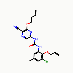 C=CCCOc1nc(NC(=O)Nc2cc(C)cc(Br)c2OCC=C)cnc1C#N